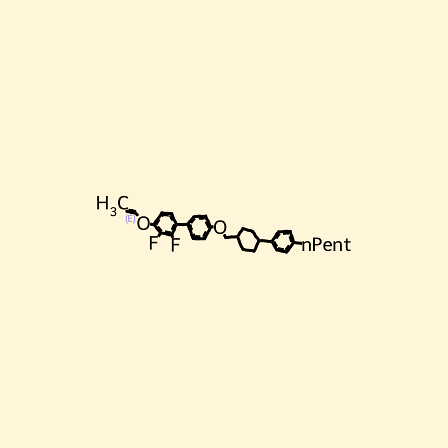 C/C=C/Oc1ccc(-c2ccc(OCC3CCC(c4ccc(CCCCC)cc4)CC3)cc2)c(F)c1F